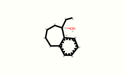 CC[C@]1(O)CCCCc2ccccc21